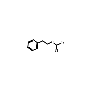 CCC(Cl)OCCc1ccccc1